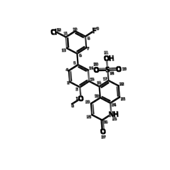 COc1ccc(-c2cc(F)cc(Cl)c2)cc1-c1c(S(=O)(=O)O)ccc2[nH]c(=O)ccc12